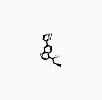 C#CCC(O)c1ccnc2cc(-c3cc[nH]n3)ccc12